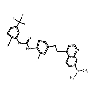 CN(C)c1cnc2c(CCc3ccc(NC(=O)Nc4cc(C(F)(F)F)ccc4F)c(F)c3)ccnc2n1